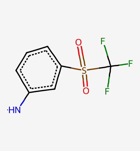 [NH]c1cccc(S(=O)(=O)C(F)(F)F)c1